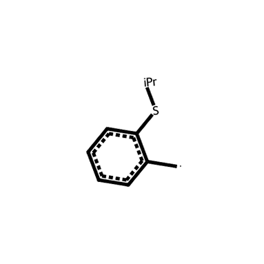 [CH2]c1ccccc1SC(C)C